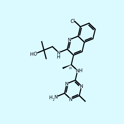 Cc1nc(N)nc(N[C@@H](C)c2cc3cccc(Cl)c3nc2NCC(C)(C)O)n1